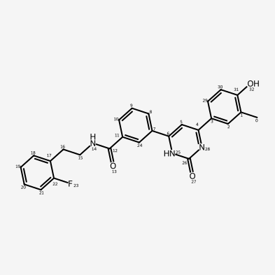 Cc1cc(-c2cc(-c3cccc(C(=O)NCCc4ccccc4F)c3)[nH]c(=O)n2)ccc1O